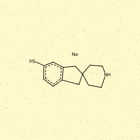 Sc1ccc2c(c1)CC1(CCNCC1)C2.[Na]